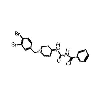 O=C(NC(=O)c1ccccc1)NC1CCN(Cc2ccc(Br)c(Br)c2)CC1